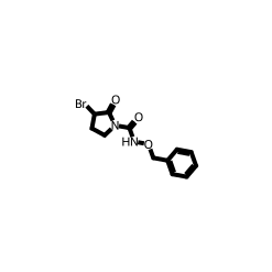 O=C(NOCc1ccccc1)N1CCC(Br)C1=O